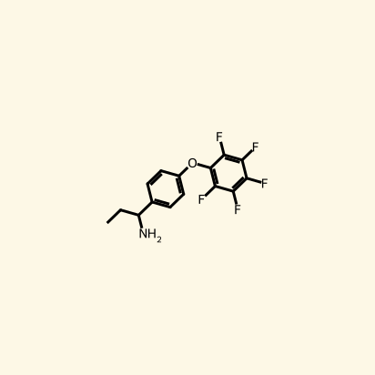 CCC(N)c1ccc(Oc2c(F)c(F)c(F)c(F)c2F)cc1